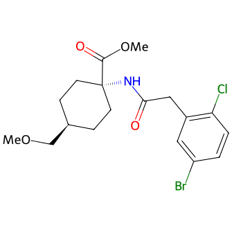 COC[C@H]1CC[C@@](NC(=O)Cc2cc(Br)ccc2Cl)(C(=O)OC)CC1